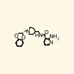 Nc1ncccc1C(=O)NCC1CCN(C[C@H]2COc3ccccc3O2)CC1